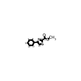 COC(=O)c1nc(-c2ccccc2)cs1